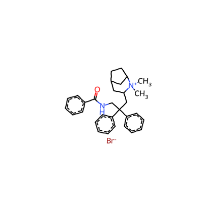 C[N+]1(C)C2CCC(C2)CC1CC(CNC(=O)c1ccccc1)(c1ccccc1)c1ccccc1.[Br-]